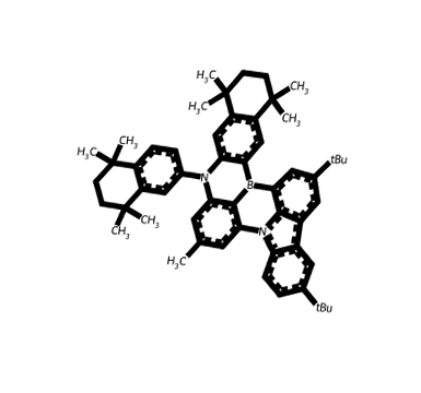 Cc1cc2c3c(c1)-n1c4ccc(C(C)(C)C)cc4c4cc(C(C)(C)C)cc(c41)B3c1cc3c(cc1N2c1ccc2c(c1)C(C)(C)CCC2(C)C)C(C)(C)CCC3(C)C